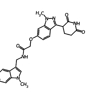 Cn1cc(CNC(=O)COc2ccc3c(C4CCC(=O)NC4=O)nn(C)c3c2)c2ccccc21